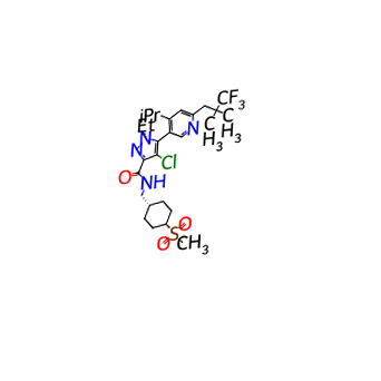 CCn1nc(C(=O)NC[C@H]2CC[C@H](S(C)(=O)=O)CC2)c(Cl)c1-c1cnc(CC(C)(C)C(F)(F)F)cc1C(C)C